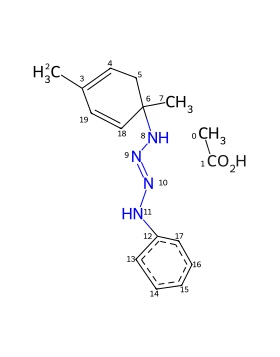 CC(=O)O.CC1=CCC(C)(NN=NNc2ccccc2)C=C1